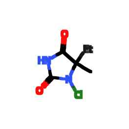 CCC1(C)C(=O)NC(=O)N1Cl